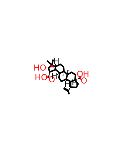 C=C(C)[C@@H]1CC[C@]2(C(=O)O)CC[C@]3(C)[C@H](CC[C@@H]4[C@@]5(C)[C@@H](C(=O)O)[C@H](O)C(C)(C)[C@@H]5CC[C@]43C)[C@@H]12